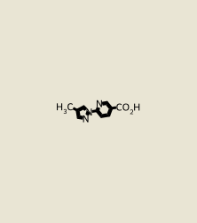 Cc1cnn(-c2ccc(C(=O)O)cn2)c1